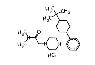 CN(C)C(=O)CN1CCN(c2ccccc2C2CCC(C(C)(C)C)CC2)CC1.Cl